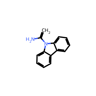 C=C(N)n1c2ccccc2c2ccccc21